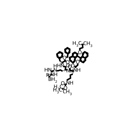 BP(F)NC(=N)NCCC[C@@H](NC(=O)[C@@H](CCCCNC(=O)OC(C)(C)C)NC(=O)COc1ccc2ccccc2c1-c1c(OCCC(C)C)ccc2ccccc12)C(=O)N[C@@H](Cc1ccccc1)C(=O)OCc1ccccc1